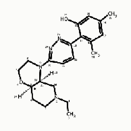 CCN1CC[C@H]2OCCN(c3ccc(-c4c(C)cc(C)cc4O)nn3)[C@H]2C1